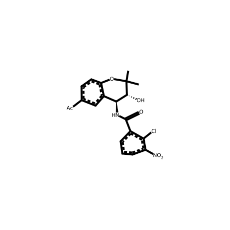 CC(=O)c1ccc2c(c1)[C@H](NC(=O)c1cccc([N+](=O)[O-])c1Cl)[C@@H](O)C(C)(C)O2